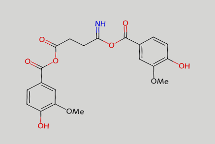 COc1cc(C(=O)OC(=N)CCC(=O)OC(=O)c2ccc(O)c(OC)c2)ccc1O